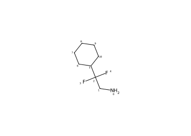 NCC(F)(F)C1CCCCC1